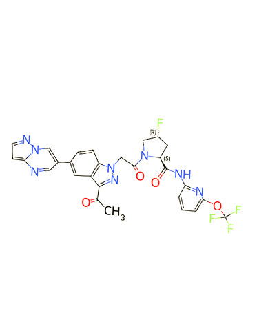 CC(=O)c1nn(CC(=O)N2C[C@H](F)C[C@H]2C(=O)Nc2cccc(OC(F)(F)F)n2)c2ccc(-c3cnc4ccnn4c3)cc12